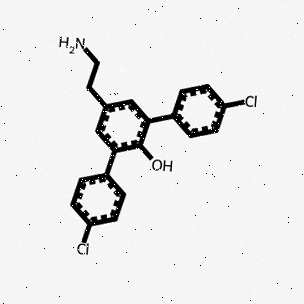 NCCc1cc(-c2ccc(Cl)cc2)c(O)c(-c2ccc(Cl)cc2)c1